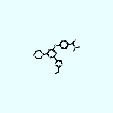 CCc1ncc(-c2nc(Oc3ccc(C(=O)N(C)C)cc3)nc(N3CCOCC3)n2)s1